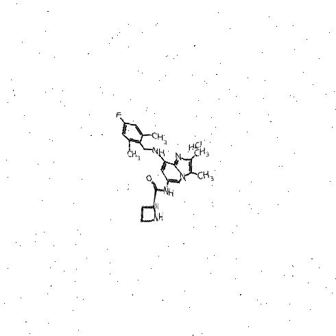 Cc1cc(F)cc(C)c1CNc1cc(NC(=O)[C@@H]2CCN2)cn2c(C)c(C)nc12.Cl